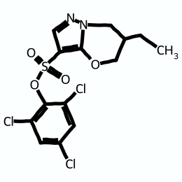 CCC1COc2c(S(=O)(=O)Oc3c(Cl)cc(Cl)cc3Cl)cnn2C1